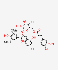 COc1cc(-c2[o+]c3cc(O)cc(O)c3cc2OC2O[C@H](COC(=O)C=Cc3ccc(O)c(O)c3)[C@H](O)[C@H](O)[C@H]2O)cc(OC)c1O